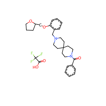 O=C(O)C(F)(F)F.O=C(c1ccccc1)N1CCC2(CCN(Cc3ccccc3OCC3CCCO3)CC2)CC1